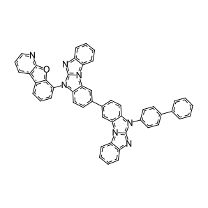 c1ccc(-c2ccc(-n3c4ccc(-c5ccc6c(c5)n5c7ccccc7nc5n6-c5cccc6c5oc5ncccc56)cc4n4c5ccccc5nc34)cc2)cc1